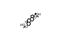 C#C[C@]1(OC(C)O)CCC2C3CC[C@H]4C[C@H](OC(C)O)CC[C@]4(C)C3CC[C@@]21C